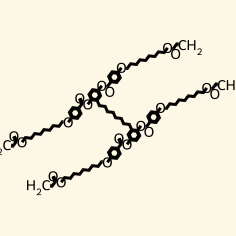 C=CC(=O)OCCCCCCCCCOc1ccc(C(=O)Oc2ccc(OC(=O)c3ccc(OCCCCCCCCCOC(=O)C=C)cc3)c(CCCCCCCCc3cc(OC(=O)c4ccc(OCCCCCCCCCOC(=O)C=C)cc4)ccc3OC(=O)c3ccc(OCCCCCCCCCOC(=O)C=C)cc3)c2)cc1